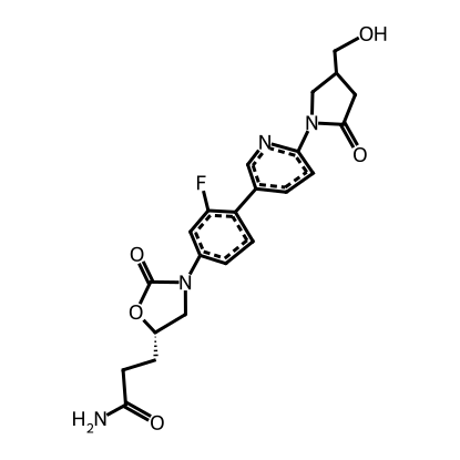 NC(=O)CC[C@H]1CN(c2ccc(-c3ccc(N4CC(CO)CC4=O)nc3)c(F)c2)C(=O)O1